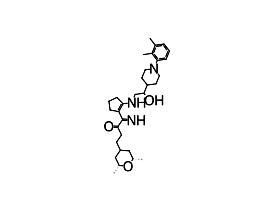 Cc1cccc(N2CCC(C(O)CNC3=C(C(=N)C(=O)CCC4C[C@@H](C)O[C@@H](C)C4)CCC3)CC2)c1C